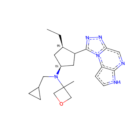 CC[C@@H]1C[C@H](N(CC2CC2)C2(C)COC2)CC1c1nnc2cnc3[nH]ccc3n12